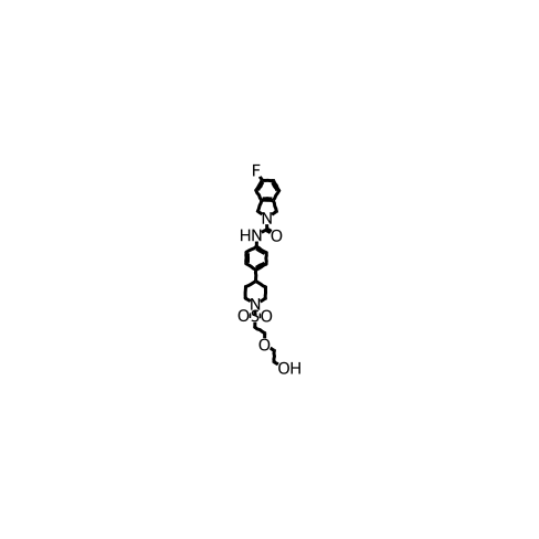 O=C(Nc1ccc(C2CCN(S(=O)(=O)CCOCCO)CC2)cc1)N1Cc2ccc(F)cc2C1